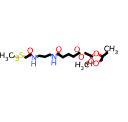 CCC(CO)OC(COC(=O)CCCC(=O)NCCCNC(=O)CSSC)OC